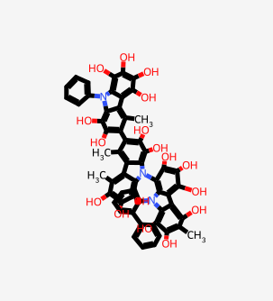 Cc1c(O)c(O)c2c(c1O)c1c(O)c(O)c(O)c(-n3c4c(O)c(O)c(O)c(C)c4c4c(C)c(-c5c(O)c(O)c6c(c5C)c5c(O)c(O)c(O)c(O)c5n6-c5ccccc5)c(O)c(O)c43)c1n2-c1ccccc1-c1ccccc1